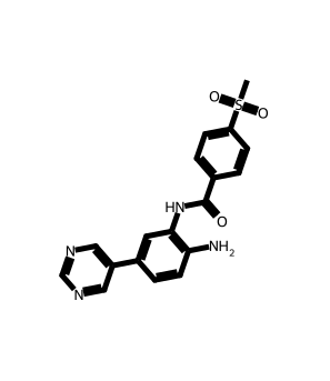 CS(=O)(=O)c1ccc(C(=O)Nc2cc(-c3cncnc3)ccc2N)cc1